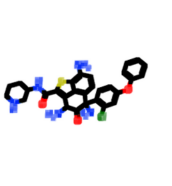 Nc1ccc2c3c(c(C(=O)NC4CCCNC4)sc13)C(N)C(=O)C2(N)c1ccc(Oc2ccccc2)cc1Cl